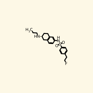 CCCN[C@@H]1CCc2cc(NS(=O)(=O)c3ccc(CCF)cc3)ccc2C1